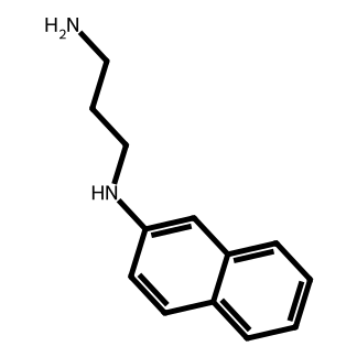 NCCCNc1ccc2ccccc2c1